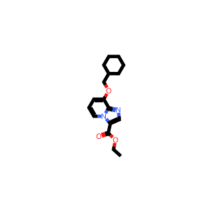 CCOC(=O)c1cnc2c(OCC3CCCCC3)cccn12